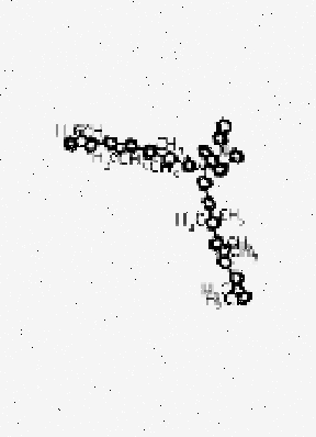 Cc1cc(-c2ccc3c(c2)C(C)(C)c2cc(-c4ccc5c(c4)C(C)(C)c4ccccc4-5)ccc2-3)cc(C)c1-c1ccc(-c2ccc(N(c3ccc(-c4ccc(-c5c(C)cc(-c6ccc7c(c6)C(C)(C)c6cc(-c8ccc9c(c8)C(C)(C)c8ccccc8-9)ccc6-7)cc5C)cc4)cc3)c3c4ccccc4c(N(c4ccccc4)c4ccc5ccccc5c4)c4ccccc34)cc2)cc1